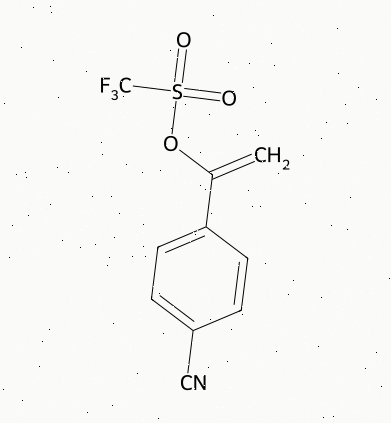 C=C(OS(=O)(=O)C(F)(F)F)c1ccc(C#N)cc1